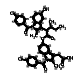 CCC(C)C(C(=O)Oc1ccc2c(c1)c(CC(=O)O)c(C)n2C(=O)c1ccc(Cl)cc1)c1c(C)n(C(=O)c2ccc(Cl)cc2)c2ccc(O)cc12